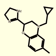 Cc1ccc2c(c1)N(CC1CC1)CC(C1=NCCN1)O2